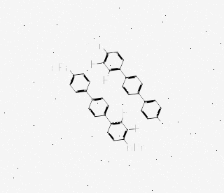 CCCc1ccc(-c2ccc(-c3ccc(CC)cc3)cc2)c(F)c1F.CCCc1ccc(-c2ccc(-c3ccc(CCC)c(F)c3F)cc2)cc1